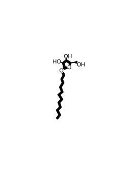 CCCCCCCCCCCCOC1O[C@H](CO)[C@H](O)[C@H]1O